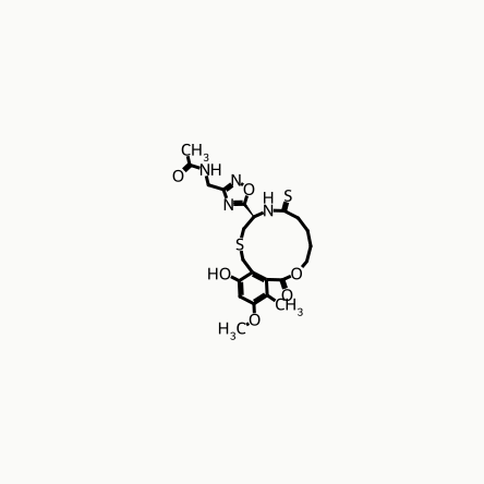 COc1cc(O)c2c(c1C)C(=O)OCCCCC(=S)N[C@H](c1nc(CNC(C)=O)no1)CSC2